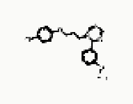 FC(F)(F)Oc1cccc(C2N=CN=CN2CCCOc2ccc(Cl)cc2)c1